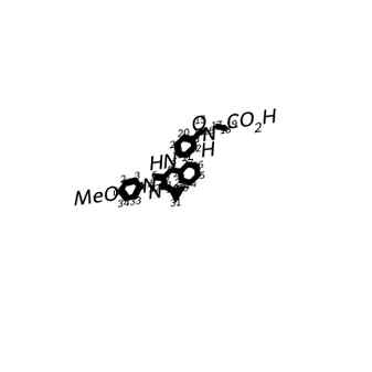 COc1ccc(-n2cc(C(Nc3ccc(C(=O)NCCC(=O)O)cc3)C3CCCCC3)c(C3CC3)n2)cc1